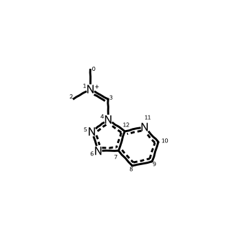 C[N+](C)=Cn1nnc2cccnc21